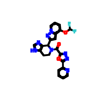 O=C(c1nnc(-c2ccccn2)o1)N1CCc2[nH]cnc2C1c1cc2c(OC(F)F)cccn2n1